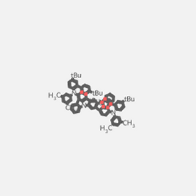 Cc1cc(C)cc(N(c2ccc(C(C)(C)C)cc2-c2ccc(C(C)(C)C)cc2)c2ccc3c4cc5c(cc4n4c6ccccc6c2c34)c2ccc(N(c3cc(C)cc(C)c3)c3ccc(C(C)(C)C)cc3-c3ccc(C(C)(C)C)cc3)c3c4ccccc4n5c23)c1